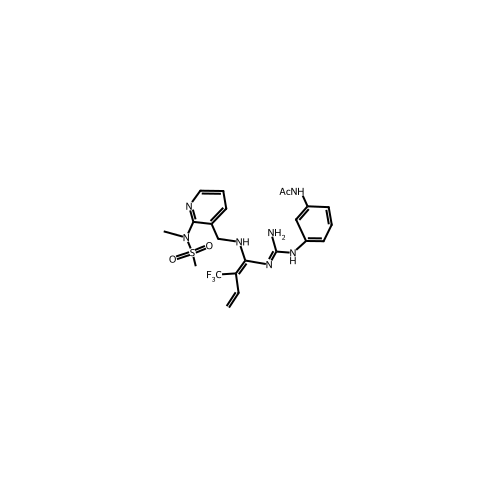 C=C/C(=C(\N=C(/N)Nc1cccc(NC(C)=O)c1)NCc1cccnc1N(C)S(C)(=O)=O)C(F)(F)F